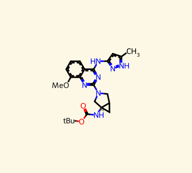 COc1cccc2c(Nc3cc(C)[nH]n3)nc(N3CC4C[C@]4(NC(=O)OC(C)(C)C)C3)nc12